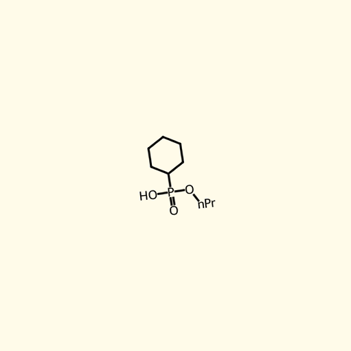 CCCOP(=O)(O)C1CCCCC1